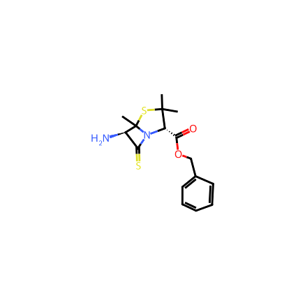 CC1(C)SC2(C)[C@H](N)C(=S)N2[C@H]1C(=O)OCc1ccccc1